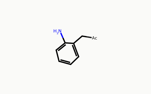 CC(=O)Cc1ccccc1N